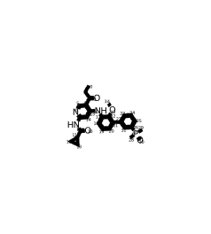 CCC(=O)c1cnc(NC(=O)C2CC2)cc1Nc1cccc(-c2cccc(P(C)(C)=O)c2)c1OC